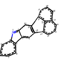 C1=C2C(=Nc3ccccc32)CC2=C1c1cccc3cccc2c13